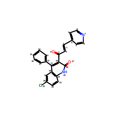 O=C(/C=C/c1ccncc1)c1c(-c2ccccc2)c2cc(Cl)ccc2[nH]c1=O